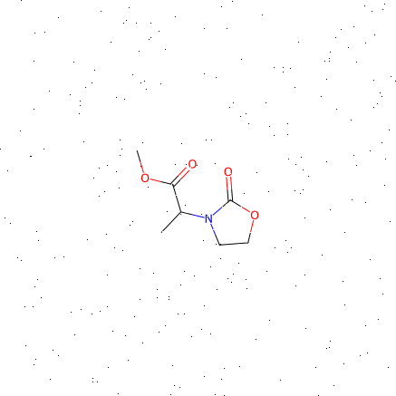 COC(=O)[C](C)N1CCOC1=O